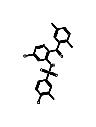 Cc1ccc(C)c(C(=O)c2ncc(Cl)cc2NS(=O)(=O)c2ccc(Cl)c(C)c2)c1